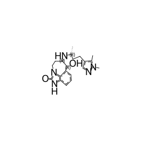 Cc1c(CC[C@@H](C)N[C@@H]2CCn3c(=O)[nH]c4cccc(c43)[C@H]2O)cnn1C